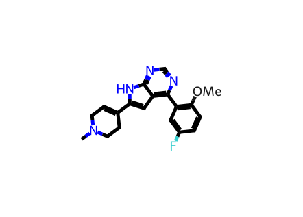 COc1ccc(F)cc1-c1ncnc2[nH]c(C3=CCN(C)CC3)cc12